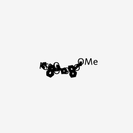 COCCOc1ccc([SH]2CCC(C(COC)Oc3ccc([SH]4CCCC4)c4ccccc34)C2)c2ccccc12